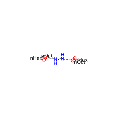 CCCCCCCCC(CCCCCC)C(=O)OCCCCCCNCCCCNCCCCCCOC(=O)C(CCCCCC)CCCCCCCC